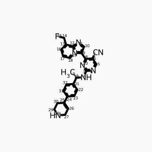 C[C@H](Nc1ncc(C#N)c(-c2cnc3c(CF)cccn23)n1)c1ccc(C2=CCNCC2)cc1